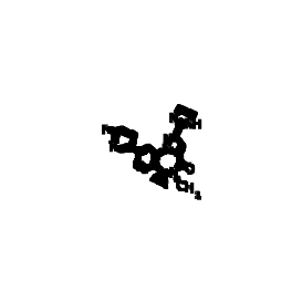 CN1C(=O)c2cc(-c3ncc[nH]3)nn2-c2cc(-c3ccc(F)nc3)ccc2C12CC2